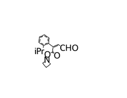 CC(C)c1ccccc1C(=CC=O)C(=O)ON1CCC1